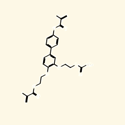 C=C(C)C(=O)OCCOc1ccc(-c2ccc(OC(=O)C(=C)C)cc2)cc1OCCOC(=O)C(C)(C)C